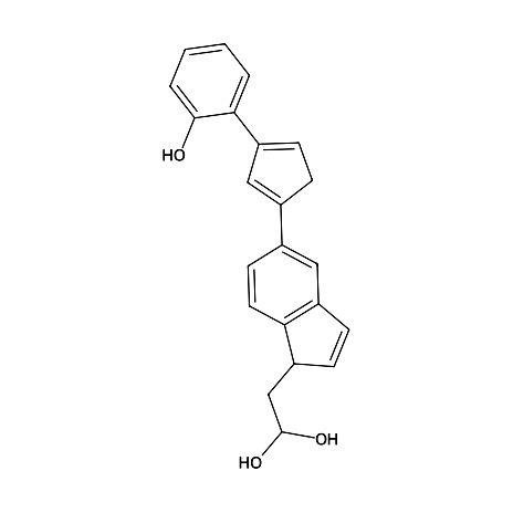 Oc1ccccc1C1=CCC(c2ccc3c(c2)C=CC3CC(O)O)=C1